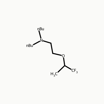 CCCCN(CCCC)CCOC(C)C(F)(F)F